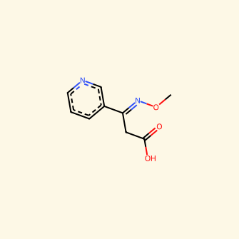 CON=C(CC(=O)O)c1cccnc1